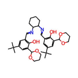 CC(C)(C)c1cc(/C=N/C2CCCCC2/N=C/c2cc(C(C)(C)C)cc(C3OCCCO3)c2O)c(O)c(C2OCCCO2)c1